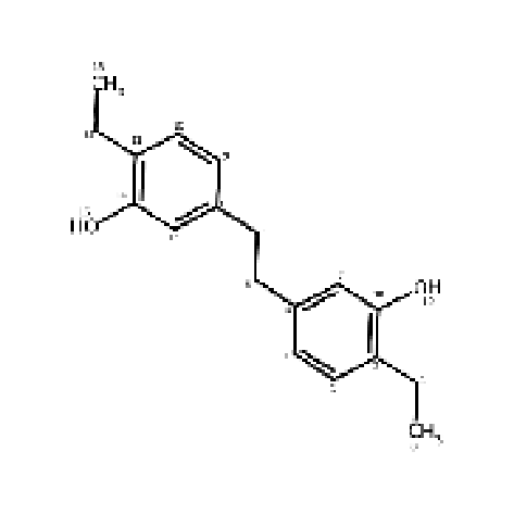 CCc1ccc(CCc2ccc(CC)c(O)c2)cc1O